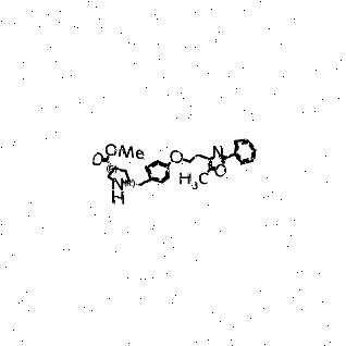 COC(=O)[C@H]1CN[C@@H](Cc2ccc(OCCc3nc(-c4ccccc4)oc3C)cc2)C1